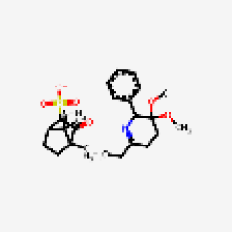 CC12CCC(C(S(=O)(=O)O)C1=O)C2(C)C.CCC1=NC(c2ccccc2)C(OC)(OC)CC1